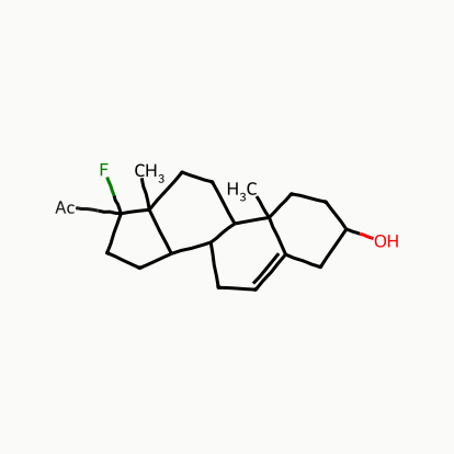 CC(=O)C1(F)CCC2C3CC=C4CC(O)CCC4(C)C3CCC21C